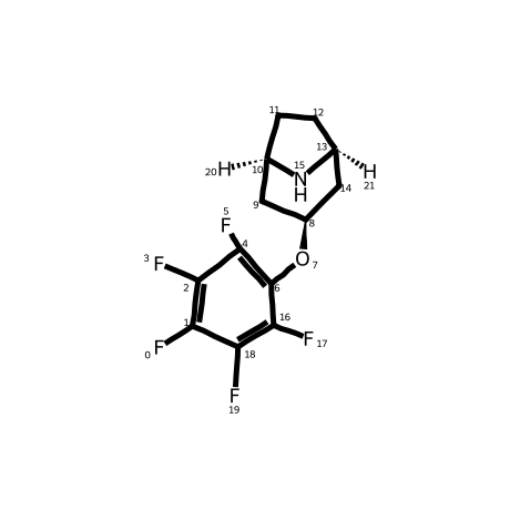 Fc1c(F)c(F)c(O[C@H]2C[C@H]3CC[C@@H](C2)N3)c(F)c1F